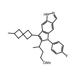 COCCC(C)c1c(C2CC3(CC(C)C3)C2)c2cc3[nH]ncc3cc2n1-c1ccc(F)cc1